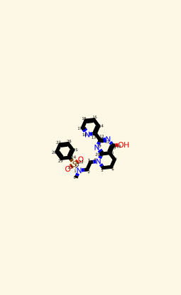 CN(CCN1CCCc2c(O)nc(-c3ccccn3)nc21)S(=O)(=O)c1ccccc1